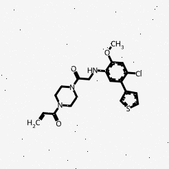 C=CC(=O)N1CCN(C(=O)CNc2cc(-c3ccsc3)c(Cl)cc2OC)CC1